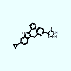 c1cc(Cc2c(-c3ccoc3)[nH]c3cc(C4CC4)ccc23)nc(C2=NNNN2)c1